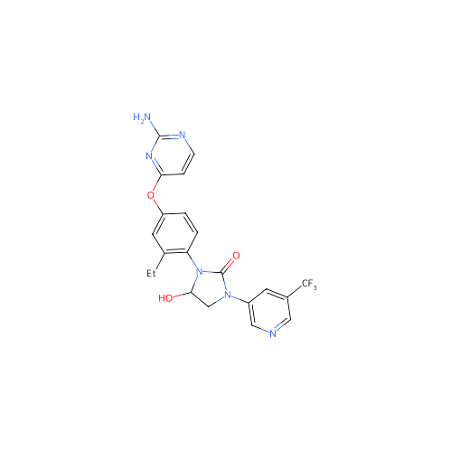 CCc1cc(Oc2ccnc(N)n2)ccc1N1C(=O)N(c2cncc(C(F)(F)F)c2)CC1O